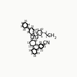 C=CC[C@H]1CC[C@H](C2(C(=O)O[C@H]3CC[C@H](c4ccccc4-c4ccc(C#N)cc4)CC3)C=CC(c3ccccc3)=CC2)CC1